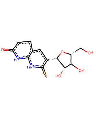 O=c1ccc2cc([C@@H]3O[C@H](CO)C(O)[C@@H]3O)c(=S)[nH]c2[nH]1